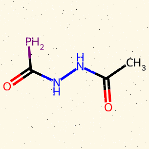 CC(=O)NNC(=O)P